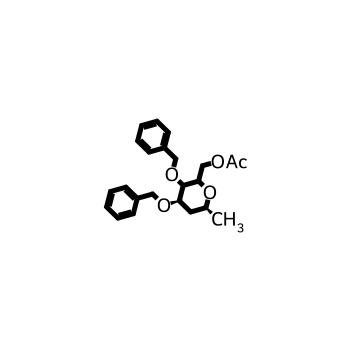 CC(=O)OCC1O[C@@H](C)C[C@@H](OCc2ccccc2)C1OCc1ccccc1